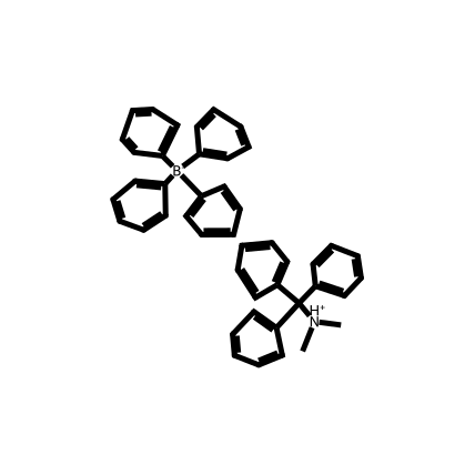 C[NH+](C)C(c1ccccc1)(c1ccccc1)c1ccccc1.c1ccc([B-](c2ccccc2)(c2ccccc2)c2ccccc2)cc1